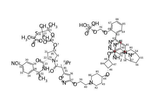 CC(C)[C@@H](C(=O)N1C[C@H](OC(=O)OC(C)C(C)(C)SS(C)(=O)=O)C[C@H]1C(=O)N[C@@H](C)c1ccc(C#N)cc1)c1cc(OCCN2CCC(O[C@H]3C[C@H](Oc4cc(N5C6CCC5CN(c5cc(-c7ccccc7OCOP(=O)(O)O)nnc5N)C6)ccn4)C3)CC2)no1